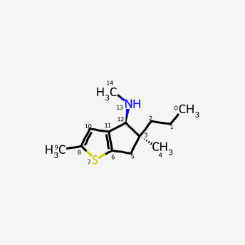 CCC[C@@]1(C)Cc2sc(C)cc2[C@H]1NC